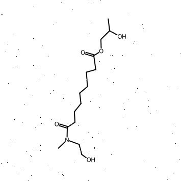 CC(O)COC(=O)CCCCCCCC(=O)N(C)CCO